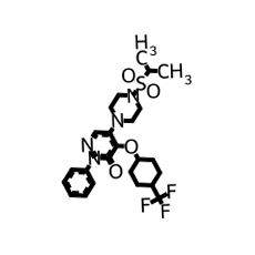 CC(C)S(=O)(=O)N1CCN(c2cnn(-c3ccccc3)c(=O)c2OC2CCC(C(F)(F)F)CC2)CC1